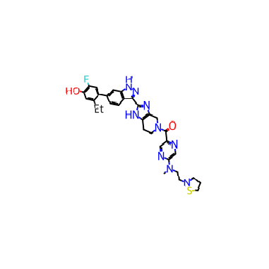 CCc1cc(O)c(F)cc1-c1ccc2c(-c3nc4c([nH]3)CCN(C(=O)c3cnc(N(C)CCN5CCCS5)cn3)C4)n[nH]c2c1